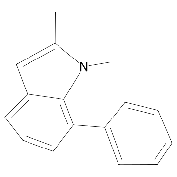 Cc1cc2cccc(-c3ccccc3)c2n1C